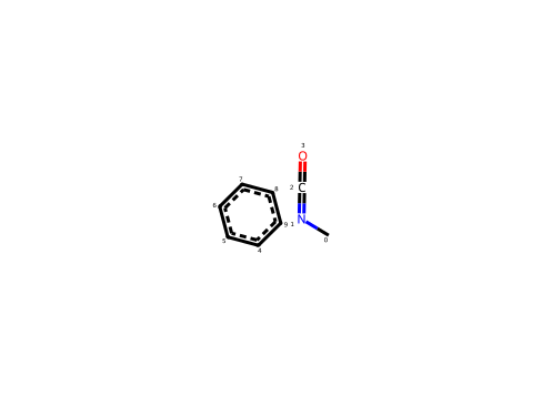 CN=C=O.c1ccccc1